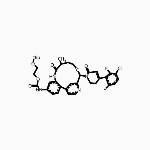 CC1CCCC(N2CCC(c3c(F)ccc(Cl)c3F)=CC2=O)c2cc(ccn2)-c2ccc(NC(=O)OCCOC(C)(C)C)cc2NC1=O